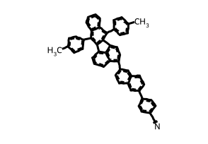 Cc1ccc(-c2c3c(c(-c4ccc(C)cc4)c4ccccc24)-c2ccc(-c4ccc5cc(-c6ccc(C#N)cc6)ccc5c4)c4cccc-3c24)cc1